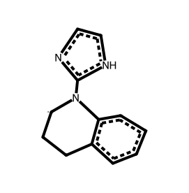 [CH]1CCc2ccccc2N1c1ncc[nH]1